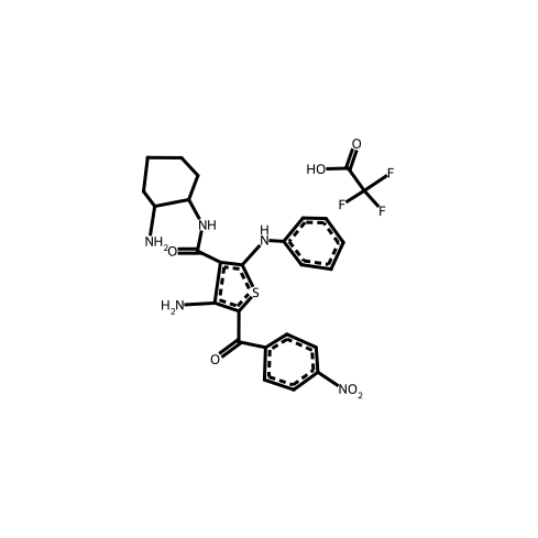 Nc1c(C(=O)c2ccc([N+](=O)[O-])cc2)sc(Nc2ccccc2)c1C(=O)NC1CCCCC1N.O=C(O)C(F)(F)F